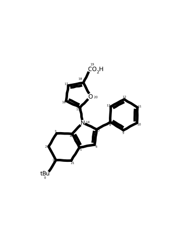 CC(C)(C)C1CCc2c(cc(-c3ccccc3)n2-c2ccc(C(=O)O)o2)C1